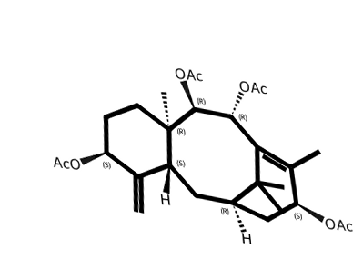 C=C1[C@@H](OC(C)=O)CC[C@]2(C)[C@@H]1C[C@@H]1C[C@H](OC(C)=O)C(C)=C([C@@H](OC(C)=O)[C@@H]2OC(C)=O)C1(C)C